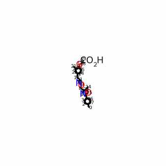 Cc1ccc(-c2nc(CON=CCc3ccc(OCC(=O)O)c(C)c3)c(C)o2)cc1